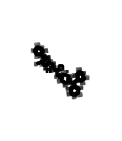 Cc1cc(CNC(=O)CN2CCN(C(c3ccccc3)c3ccccc3)CC2)nn1-c1ccccc1